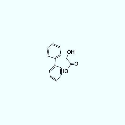 O=C(O)CO.c1ccc(-c2ccccc2)cc1